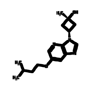 CC(C)CCOc1cnc2c(c1)ncn2[C@H]1C[C@](C)(O)C1